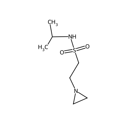 CC(C)NS(=O)(=O)CCN1CC1